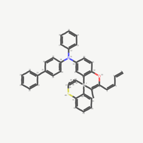 C=C/C=C\C1=C(C)[Si]2(c3cc(N(c4ccccc4)c4ccc(-c5ccccc5)cc4)ccc3O1)c1ccccc1Sc1ccccc12